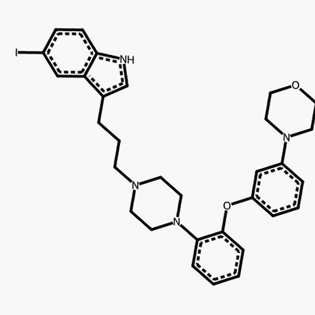 Ic1ccc2[nH]cc(CCCN3CCN(c4ccccc4Oc4cccc(N5CCOCC5)c4)CC3)c2c1